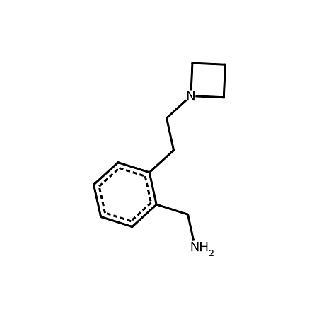 NCc1ccccc1CCN1CCC1